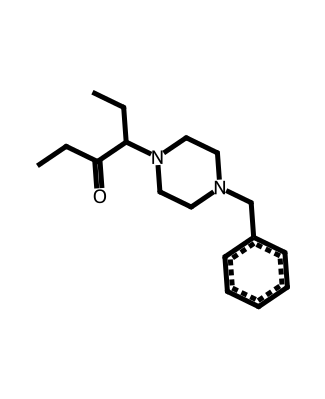 CCC(=O)C(CC)N1CCN(Cc2ccccc2)CC1